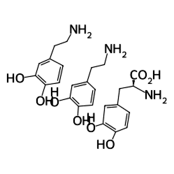 NCCc1ccc(O)c(O)c1.NCCc1ccc(O)c(O)c1.N[C@@H](Cc1ccc(O)c(O)c1)C(=O)O